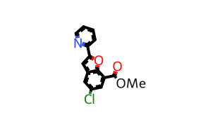 COC(=O)c1cc(Cl)cc2cc(-c3ccccn3)oc12